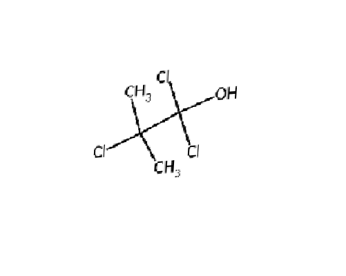 CC(C)(Cl)C(O)(Cl)Cl